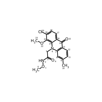 CONC(=O)Cn1c2cc(C)ccc2c(=O)c2ccc(Cl)c(OC)c21